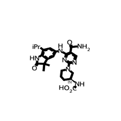 CC(C)c1cc(Nc2nc(N3CCC[C@H](NC(=O)O)C3)ncc2C(N)=O)cc2c1NC(=O)C2(C)C